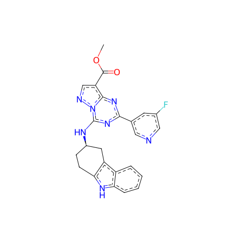 COC(=O)c1cnn2c(N[C@@H]3CCc4[nH]c5ccccc5c4C3)nc(-c3cncc(F)c3)nc12